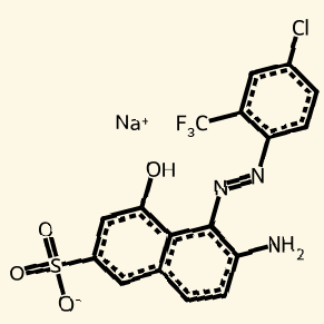 Nc1ccc2cc(S(=O)(=O)[O-])cc(O)c2c1N=Nc1ccc(Cl)cc1C(F)(F)F.[Na+]